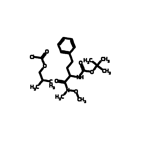 CC(C)COC(=O)Cl.CON(C)C(=O)C(CCc1ccccc1)NC(=O)OC(C)(C)C